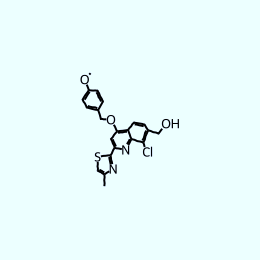 COc1ccc(COc2cc(-c3nc(C)cs3)nc3c(Cl)c(CO)ccc23)cc1